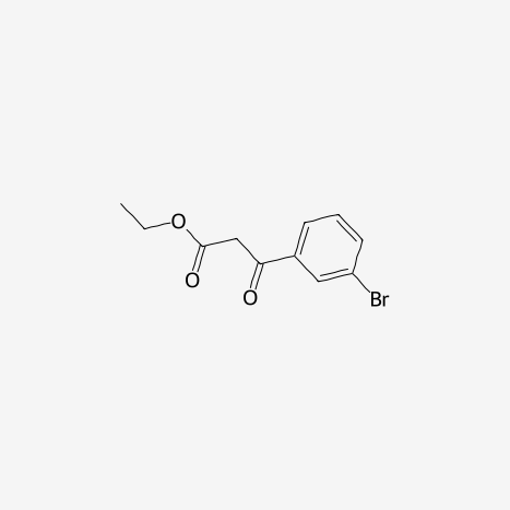 CCOC(=O)CC(=O)c1cccc(Br)c1